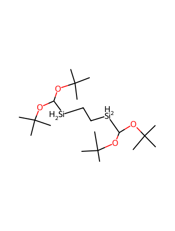 CC(C)(C)OC(OC(C)(C)C)[SiH2]CC[SiH2]C(OC(C)(C)C)OC(C)(C)C